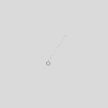 CCCCCCCCCCOCCCCCCCc1cccc(OC(=O)O)c1O